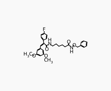 COc1cc(C=C(C(=O)NCCCCCC(=O)NOCc2ccccc2)c2ccc(F)cc2)cc(OC)c1